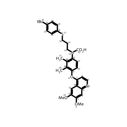 COc1cc2nccc(Oc3ccc(N(CCCSc4ccc(C(C)(C)C)cc4)C(=O)O)c(C)c3C)c2cc1OC